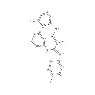 CC(=C\Oc1cccc(C)c1)/C(=N/c1ccc(C)cc1)Sc1ccccc1